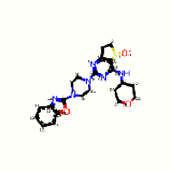 [O-][S+]1CCc2nc(N3CCN(c4nc5ccccc5o4)CC3)nc(NC3CCOCC3)c21